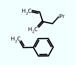 C=CC(=C)CC(C)C.C=Cc1ccccc1